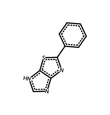 c1ccc(-c2nc3nc[nH]c3s2)cc1